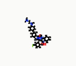 CN(C)CCN(C)c1ccc(-c2ccc3c(c2)C(=O)N(C(c2nc4ccccc4[nH]2)c2cc(F)ccc2O)C3)cc1